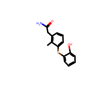 Cc1c(CC(N)=O)cccc1Sc1ccccc1O